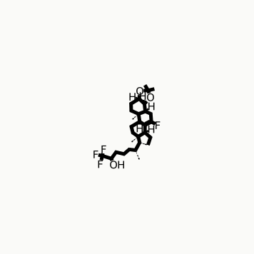 C[C@H](CCCC(O)C(F)(F)F)[C@H]1CC[C@H]2C3=C(F)C[C@H]4[C@H]5OC(C)(C)O[C@H]5CC[C@]4(C)[C@H]3CC[C@]12C